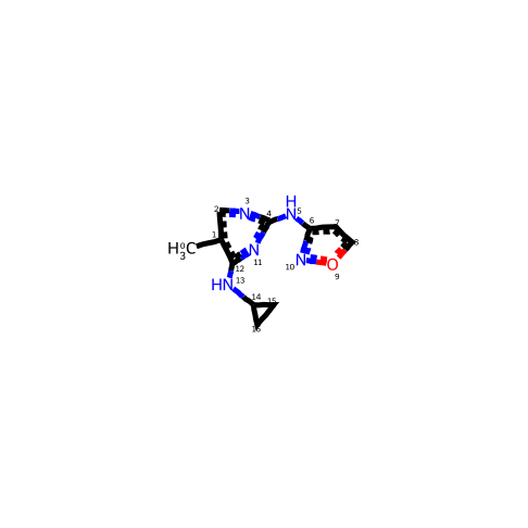 Cc1cnc(Nc2ccon2)nc1NC1CC1